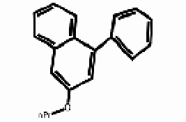 CCCOc1cc(-c2ccccc2)c2ccccc2c1